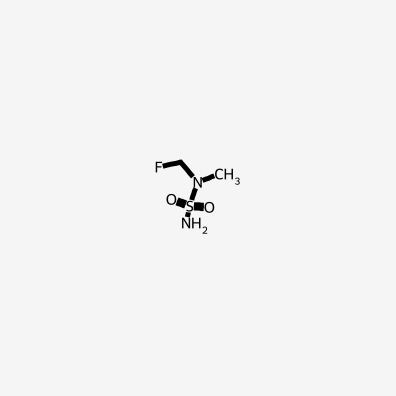 CN(CF)S(N)(=O)=O